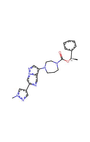 C[C@@H](OC(=O)N1CCCN(c2cnn3cc(-c4cnn(C)c4)ncc23)CC1)c1ccccc1